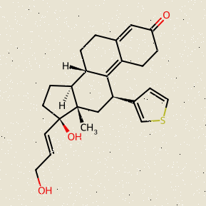 C[C@]12C[C@H](c3ccsc3)C3=C4CCC(=O)C=C4CC[C@H]3[C@@H]1CC[C@@]2(O)/C=C/CO